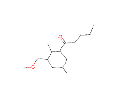 CCCCC(=O)C1CC(C)CC(COC)C1C